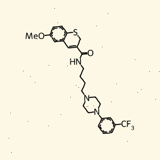 COc1ccc2c(c1)C=C(C(=O)NCCCCN1CCN(c3cccc(C(F)(F)F)c3)CC1)CS2